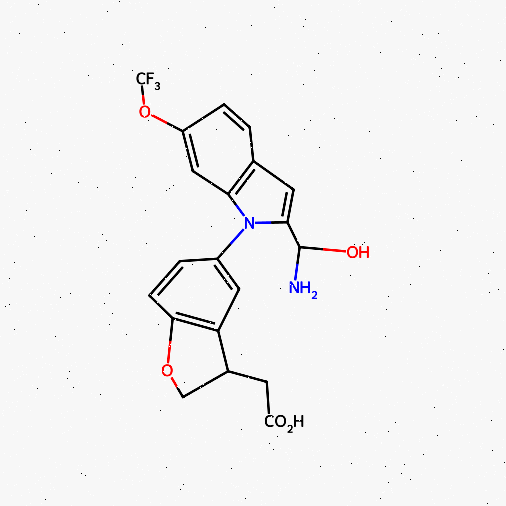 NC(O)c1cc2ccc(OC(F)(F)F)cc2n1-c1ccc2c(c1)C(CC(=O)O)CO2